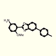 COc1ccc(N)cc1-c1nc2cc(-c3ccc(C)cc3)ccc2o1